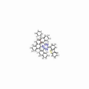 c1ccc(-c2ccc(-c3nc(-c4c(-c5cc6ccccc6c6ccccc56)ccc5ccccc45)nc(-c4cccc5c4sc4ccccc45)n3)c3ccccc23)cc1